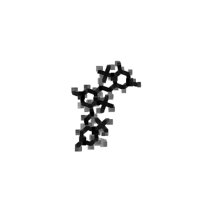 CC1CN(C)CC(CC[C@@H]2CN(C)C[C@H](CC[C@@H]3CN(C)C[C@@H](C)N3C(C)(C)C)N2C(C)(C)C)N1C(C)(C)C